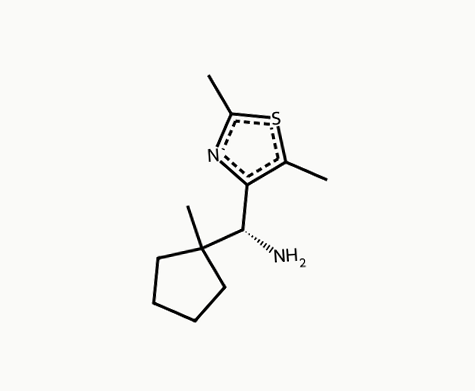 Cc1nc([C@H](N)C2(C)CCCC2)c(C)s1